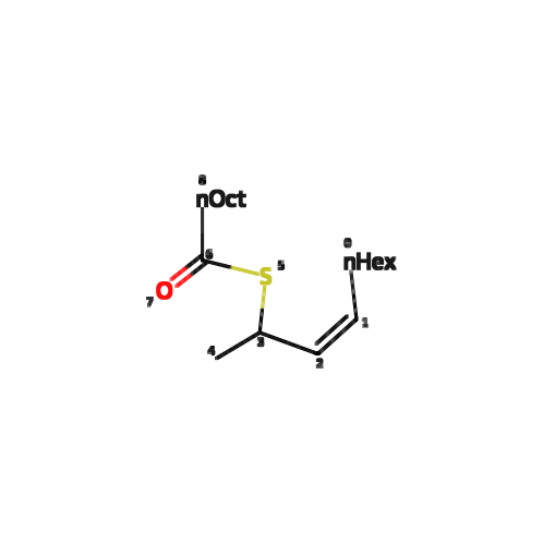 CCCCCC/C=C\C(C)SC(=O)CCCCCCCC